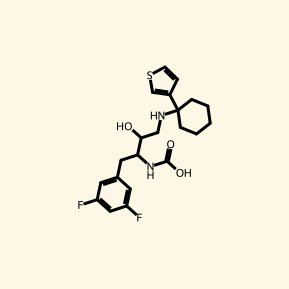 O=C(O)NC(Cc1cc(F)cc(F)c1)C(O)CNC1(c2ccsc2)CCCCC1